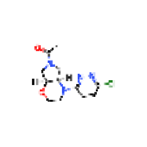 CC(=O)N1C[C@@H]2OCCN(c3ccc(Cl)nn3)[C@@H]2C1